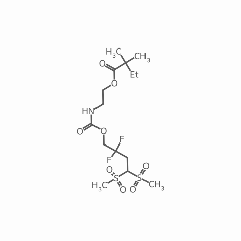 CCC(C)(C)C(=O)OCCNC(=O)OCC(F)(F)CC(S(C)(=O)=O)S(C)(=O)=O